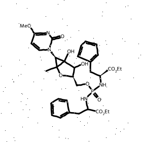 CCOC(=O)C(Cc1ccccc1)NP(=O)(N[C@@H](Cc1ccccc1)C(=O)OCC)OC[C@H]1OC2(C)[C@@H](n3ccc(OC)nc3=O)C2(O)C1O